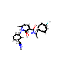 Cc1ccc(C(=O)NC(C)c2ccc(F)cc2)c(=O)n1-c1cccc(C#N)c1